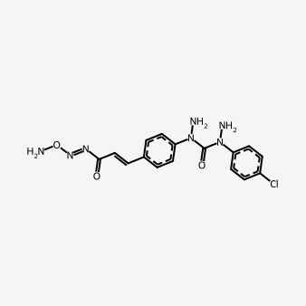 NON=NC(=O)/C=C/c1ccc(N(N)C(=O)N(N)c2ccc(Cl)cc2)cc1